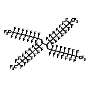 FC(F)(F)C(F)(F)C(F)(F)C(F)(F)C(F)(F)C(F)(F)C(F)(F)C(F)(F)/C=C(/C(=C/C(F)(F)C(F)(F)C(F)(F)C(F)(F)C(F)(F)C(F)(F)C(F)(F)C(F)(F)F)C(F)(F)C(F)(F)C(F)(F)C(F)(F)C(F)(F)C(F)(F)C(F)(F)C(F)(F)F)C(F)(F)C(F)(F)C(F)(F)C(F)(F)C(F)(F)C(F)(F)C(F)(F)C(F)(F)F